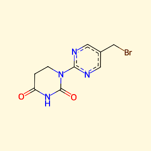 O=C1CCN(c2ncc(CBr)cn2)C(=O)N1